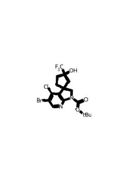 CC(C)(C)OC(=O)N1CC2(CCC(O)(C(F)(F)F)C2)c2c1ncc(Br)c2Cl